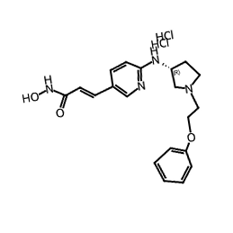 Cl.Cl.O=C(C=Cc1ccc(N[C@@H]2CCN(CCOc3ccccc3)C2)nc1)NO